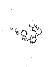 COc1cccc(Nc2nccc(N3CCCn4nc(I)cc43)n2)c1